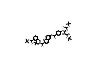 CC(C)(C)CN(Cc1cccc(C(=O)OC(C)(C)C)c1)C(=O)c1ccc2cc(OC(=O)c3ccc(N/C(=N\C(=O)OC(C)(C)C)NC(=O)OC(C)(C)C)cc3)ccc2n1